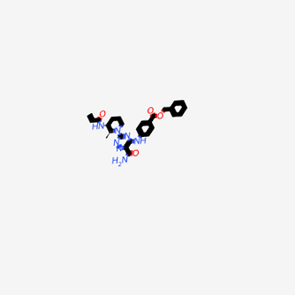 C=CC(=O)N[C@@H]1CCCN(c2nnc(C(N)=O)c(Nc3ccc(C(=O)OCc4ccccc4)cc3)n2)[C@@H]1C